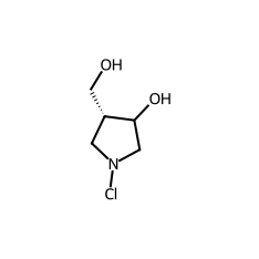 OC[C@H]1CN(Cl)CC1O